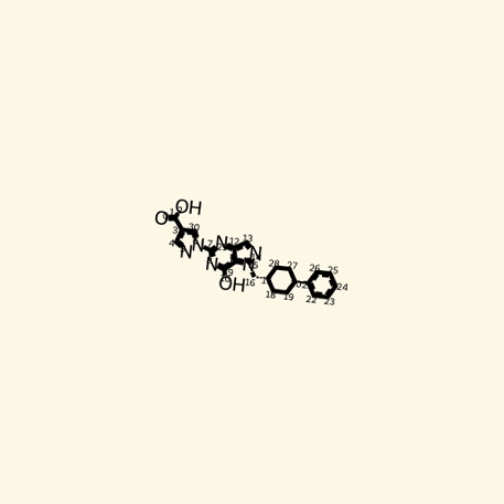 O=C(O)c1cnn(-c2nc(O)c3c(cnn3C[C@H]3CC[C@H](c4ccccc4)CC3)n2)c1